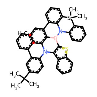 Cc1cc2c3c(c1)N(c1ccc(C(C)(C)C)cc1-c1ccccc1)c1c(sc4ccccc14)B3N1c3ccccc3[Si](C)(C)c3cccc-2c31